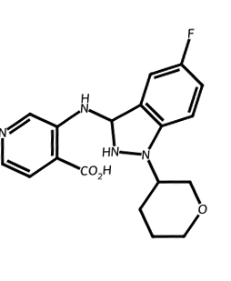 O=C(O)c1ccncc1NC1NN(C2CCCOC2)c2ccc(F)cc21